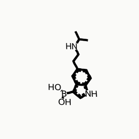 CC(C)NCCc1ccc2[nH]cc(B(O)O)c2c1